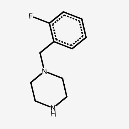 Fc1ccccc1CN1CCNCC1